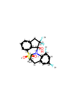 CS(=O)(=O)c1cccc2c1C(O)(N1CCCc3cc(F)cc(F)c31)C(F)(F)C2